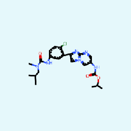 CC(C)CN(C)C(=O)Nc1ccc(Cl)c(-c2cn3cc(NC(=O)OC(C)C)cnc3n2)c1